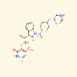 COc1cc(C)[nH]c(=O)c1CNC(=O)c1c(C)n([C@H](C)C2CCN(CC3=NC=CNC3)CC2)c2ccccc12